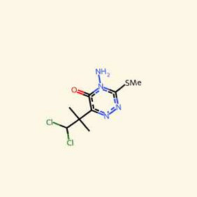 CSc1nnc(C(C)(C)C(Cl)Cl)c(=O)n1N